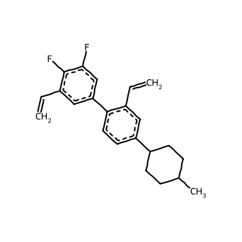 C=Cc1cc(C2CCC(C)CC2)ccc1-c1cc(F)c(F)c(C=C)c1